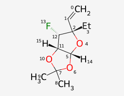 C=C[C@]1(CC)O[C@@H]2OC(C)(C)O[C@@H]2[C@@H]1F